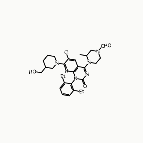 CCc1cccc(CC)c1-n1c(=O)nc(N2CCN(C=O)CC2C)c2cc(Cl)c(N3CCCC(CO)C3)nc21